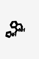 CC1NCCc2ccccc21.c1cc[nH]c1